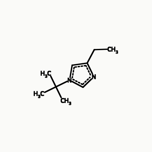 CCc1cn(C(C)(C)C)cn1